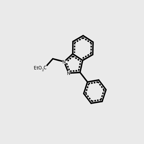 CCOC(=O)Cn1nc(-c2ccccc2)c2ccccc21